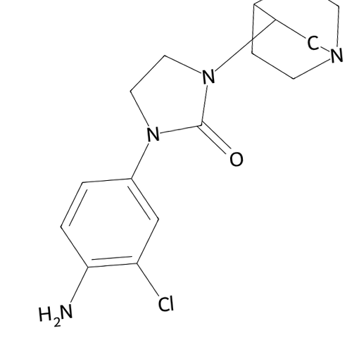 Nc1ccc(N2CCN(C3CN4CCC3CC4)C2=O)cc1Cl